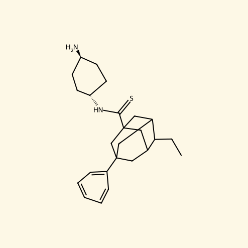 CCC1C2CC3(C(=S)N[C@H]4CC[C@H](N)CC4)CC1CC(c1ccccc1)(C2)C3